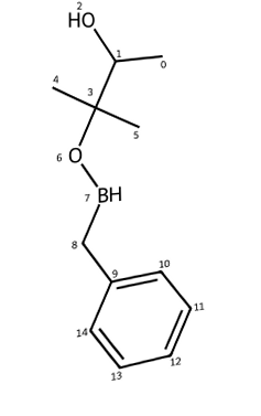 CC(O)C(C)(C)OBCc1ccccc1